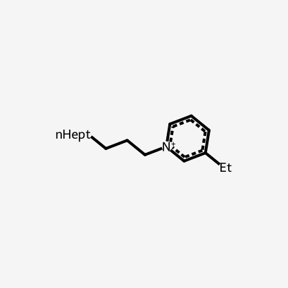 CCCCCCCCCC[n+]1cccc(CC)c1